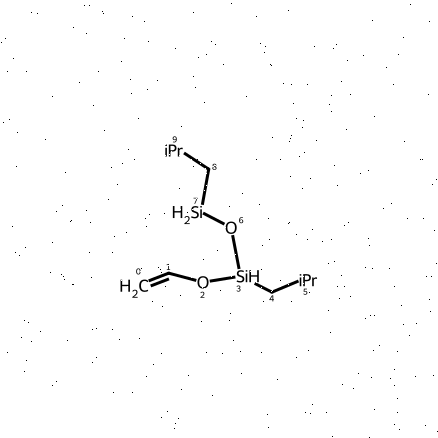 C=CO[SiH](CC(C)C)O[SiH2]CC(C)C